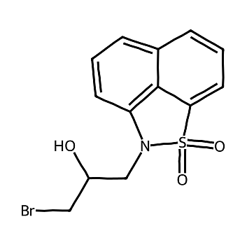 O=S1(=O)c2cccc3cccc(c23)N1CC(O)CBr